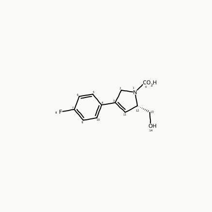 O=C(O)N1CC(c2ccc(F)cc2)=C[C@H]1CO